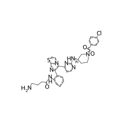 NCCCC(=O)Nc1ccccc1-c1nc2sccn2c1-c1ccnc(N[C@@H]2CCCN(S(=O)(=O)c3ccc(Cl)cc3)C2)n1